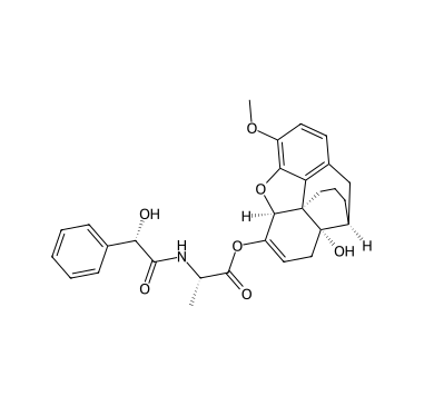 COc1ccc2c3c1O[C@@H]1C(OC(=O)[C@H](C)NC(=O)[C@@H](O)c4ccccc4)=CC[C@]4(O)[C@@H](CCC[C@@]314)C2